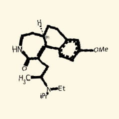 CCN(C(C)C)C(C)CC1=C2c3ccc(OC)cc3CC[C@@H]2CCNC1=O